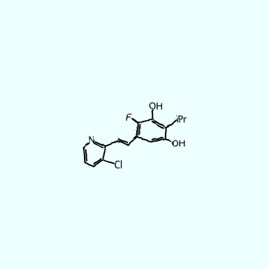 CC(C)c1c(O)cc(C=Cc2ncccc2Cl)c(F)c1O